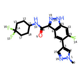 Cn1cc(-c2cc3c(C(=O)NC4CCC(F)(F)CC4)n[nH]c3cc2F)cn1